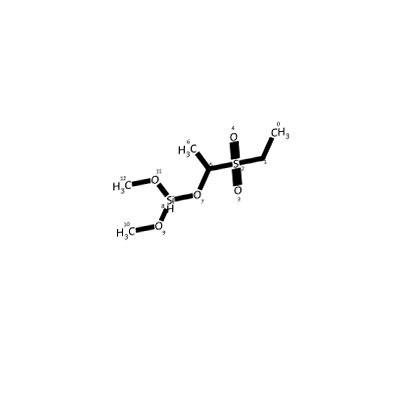 CCS(=O)(=O)C(C)O[SiH](OC)OC